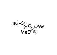 COP(=S)(OC)OCSC(C)(C)C